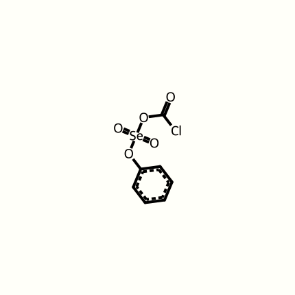 O=C(Cl)O[Se](=O)(=O)Oc1ccccc1